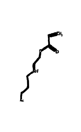 C=CC(=O)OCCNCCCC(C)=O